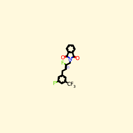 O=C1c2ccccc2C(=O)N1C/C(F)=C/Cc1cc(F)cc(C(F)(F)F)c1